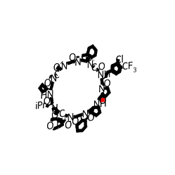 CC(C)C[C@H]1C(=O)N[C@@H](C2CCC2)C(=O)N(C)CC(=O)N(C)CC(=O)N(C)[C@@H](CC2CCCCC2)C(=O)N(C)CC(=O)N[C@@H](CCc2ccc(C(F)(F)F)c(Cl)c2)C(=O)N2CCC[C@H]2C(=O)NC2(CCCC2)C(=O)N(C)[C@@H](C2CCCCC2)C(=O)N(C)[C@H](C(=O)N2C3CCC2COC3)CC(=O)N1C